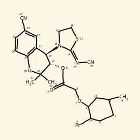 CC1CCC(C(C)C)C(OCC(=O)O[C@H]2[C@H](N3CCSC3=NC#N)c3cc(C#N)ccc3OC2(C)C)C1